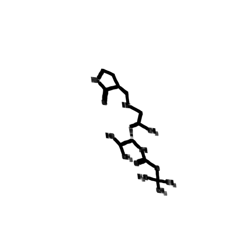 CC(CNC[C@@H]1CCNC1=O)C[C@H](NC(=O)OC(C)(C)C)C(C)O